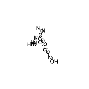 Cc1c(COc2cc(OCc3cncc(C#N)c3)c(CN(C)CCc3nn[nH]n3)cc2Cl)cccc1-c1cccc(OCCCN2CCC(O)C2)c1C